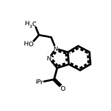 CC(O)Cn1nc(C(=O)C(C)C)c2ccccc21